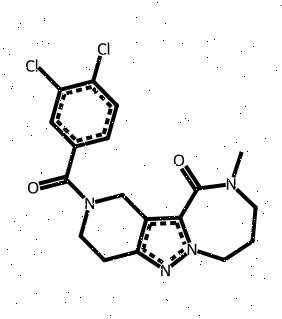 CN1CCCn2nc3c(c2C1=O)CN(C(=O)c1ccc(Cl)c(Cl)c1)CC3